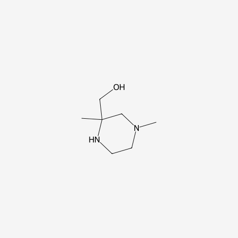 CN1CCNC(C)(CO)C1